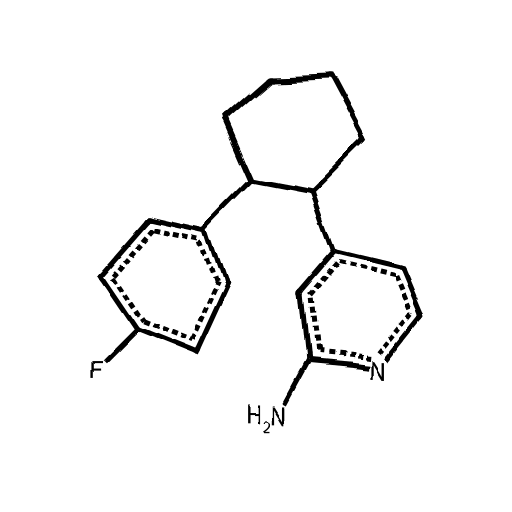 Nc1cc(C2CCCCC2c2ccc(F)cc2)ccn1